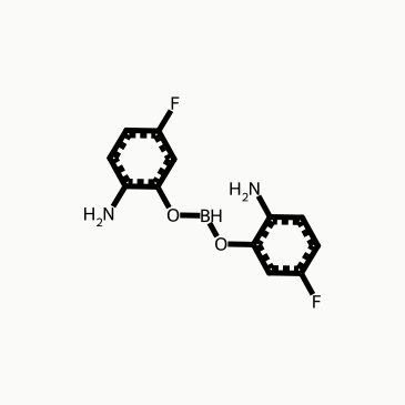 Nc1ccc(F)cc1OBOc1cc(F)ccc1N